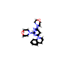 c1ccc2c(c1)CCCN2c1cc(N2CCOCC2)nc(N2CCOCC2)n1